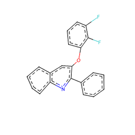 Fc1cccc(Oc2cc3ccccc3nc2-c2ccccc2)c1F